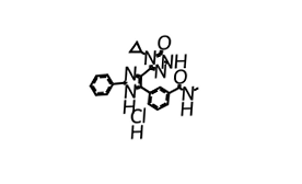 CNC(=O)c1cccc(-c2[nH]c(-c3ccccc3)nc2-c2n[nH]c(=O)n2C2CC2)c1.Cl